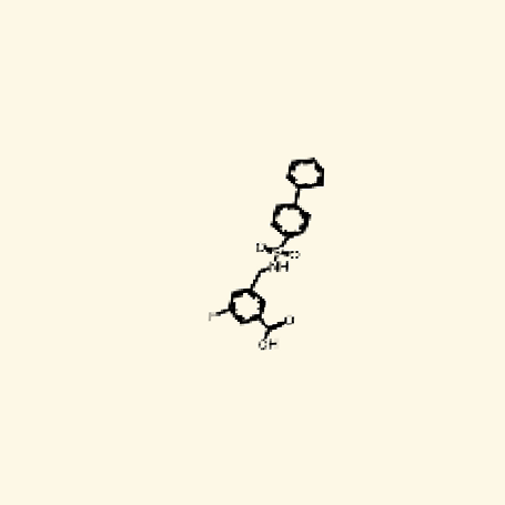 O=C(O)c1cc(F)cc(CNS(=O)(=O)c2ccc(-c3ccccc3)cc2)c1